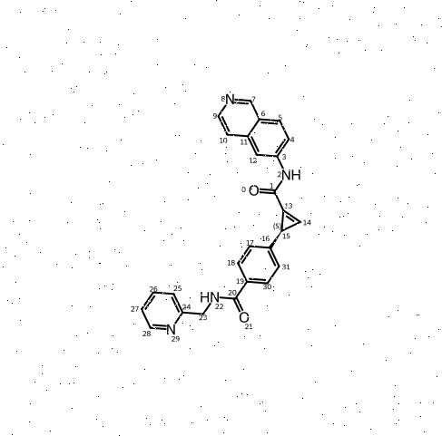 O=C(Nc1ccc2cnccc2c1)C1=C[C@H]1c1ccc(C(=O)NCc2ccccn2)cc1